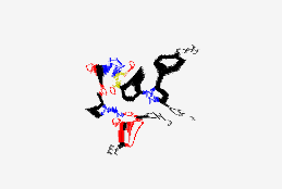 CCC(=O)OC(C)ON=NN1CCC1COC(=O)NS(=O)(=O)c1ccc(-n2nc(C(F)(F)F)cc2-c2ccc(C)cc2)cc1